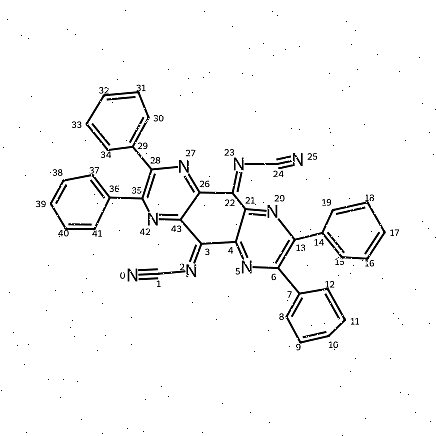 N#CN=C1c2nc(-c3ccccc3)c(-c3ccccc3)nc2C(=NC#N)c2nc(-c3ccccc3)c(-c3ccccc3)nc21